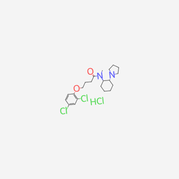 CN(C(=O)CCCOc1ccc(Cl)cc1Cl)[C@@H]1CCCC[C@H]1N1CCCC1.Cl